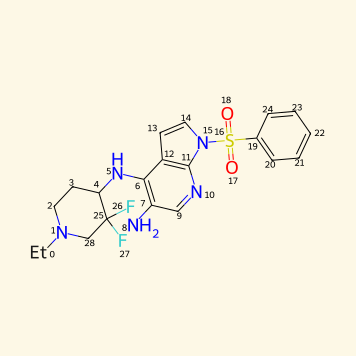 CCN1CCC(Nc2c(N)cnc3c2ccn3S(=O)(=O)c2ccccc2)C(F)(F)C1